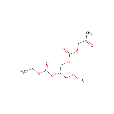 CCOC(=O)OC(COC)COC(=O)OCC(C)=O